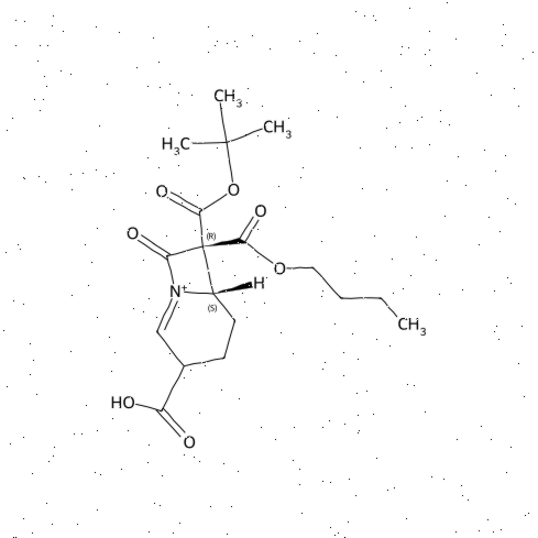 CCCCOC(=O)[C@]1(C(=O)OC(C)(C)C)C(=O)[N+]2=CC(C(=O)O)CC[C@H]21